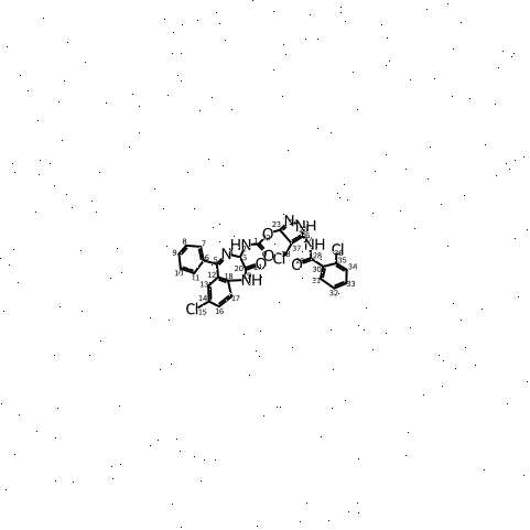 O=C(NC1N=C(c2ccccc2)c2cc(Cl)ccc2NC1=O)Oc1n[nH]c(NC(=O)c2ccccc2Cl)c1Cl